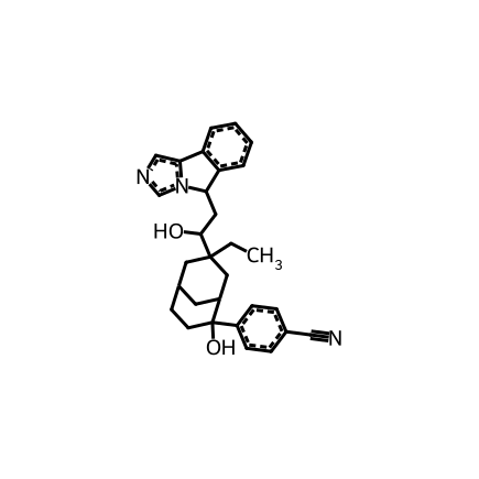 CCC1(C(O)CC2c3ccccc3-c3cncn32)CC2CCC(O)(c3ccc(C#N)cc3)C(C2)C1